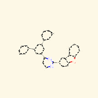 c1ccc(-c2cc(-c3ccccc3)cc(-c3ccnc(-c4ccc5oc6ccccc6c5c4)n3)c2)cc1